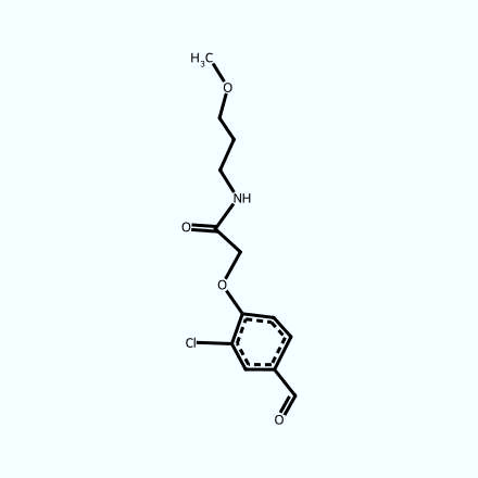 COCCCNC(=O)COc1ccc(C=O)cc1Cl